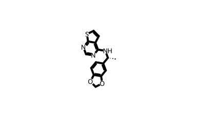 C[C@@H](Nc1ncnc2sccc12)c1ccc2c(c1)OCO2